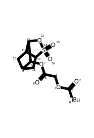 CCC(C)C(=O)OCC(=O)OC1C2CC3C1OS(=O)(=O)C3C2